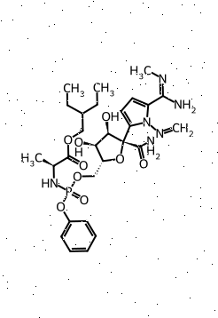 C=Nn1c(/C(N)=N\C)ccc1[C@]1(C(N)=O)O[C@H](COP(=O)(N[C@@H](C)C(=O)OCC(CC)CC)Oc2ccccc2)[C@@H](O)[C@H]1O